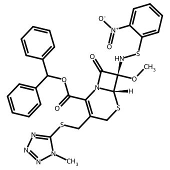 CO[C@@]1(NSc2ccccc2[N+](=O)[O-])C(=O)N2C(C(=O)OC(c3ccccc3)c3ccccc3)=C(CSc3nnnn3C)CS[C@H]21